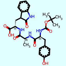 C[C@@H](NC(=O)[C@H](Cc1ccc(O)cc1)NC(=O)OC(C)(C)C)C(=O)N[C@@H](CC1C(=O)Nc2ccccc21)C(=O)O